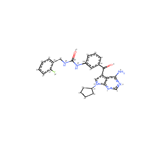 Nc1ncnc2c1c(C(=O)c1cccc(NC(=O)NCc3ccccc3F)c1)cn2C1CCCC1